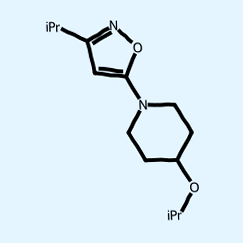 CC(C)OC1CCN(c2cc(C(C)C)no2)CC1